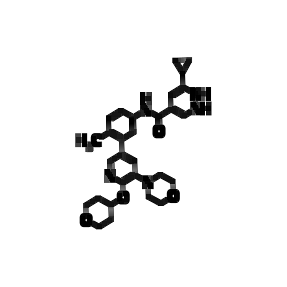 Cc1ccc(NC(=O)C2=CNNC(C3CC3)=C2)cc1-c1cnc(OC2CCOCC2)c(N2CCOCC2)c1